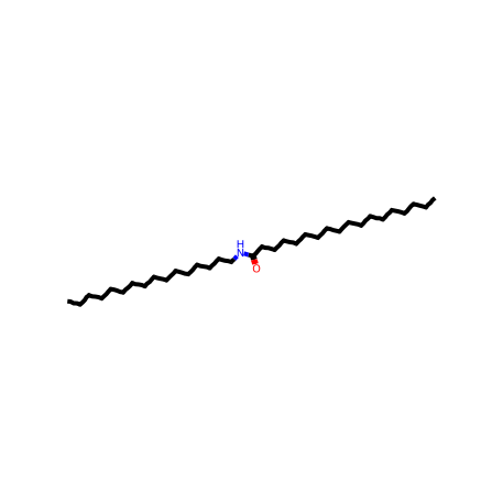 CCCCCCCCCCCCCCCCCC(=O)NCCCCCCCCCCCCCCCC